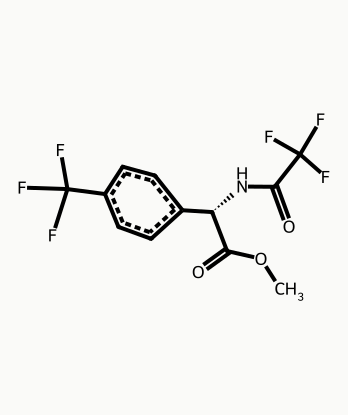 COC(=O)[C@@H](NC(=O)C(F)(F)F)c1ccc(C(F)(F)F)cc1